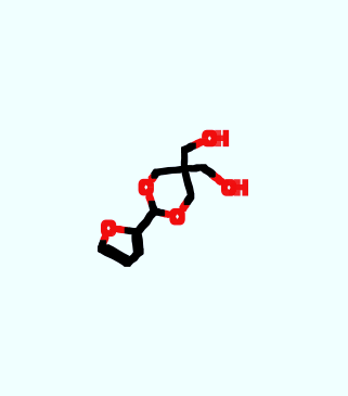 OCC1(CO)COC(c2ccco2)OC1